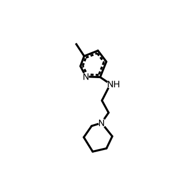 Cc1ccc(NCCN2CCCCC2)nc1